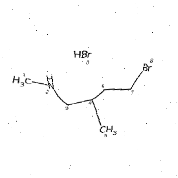 Br.CNCC(C)CCBr